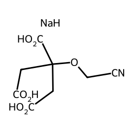 N#CCOC(CC(=O)O)(CC(=O)O)C(=O)O.[NaH]